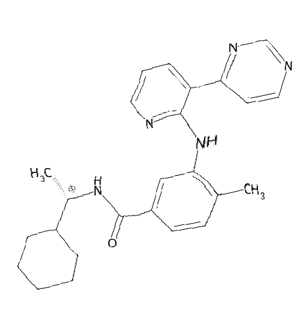 Cc1ccc(C(=O)N[C@@H](C)C2CCCCC2)cc1Nc1ncccc1-c1ccncn1